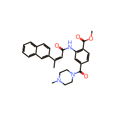 COC(=O)c1ccc(C(=O)N2CCN(C)CC2)cc1NC(=O)/C=C(/C)c1ccc2ccccc2c1